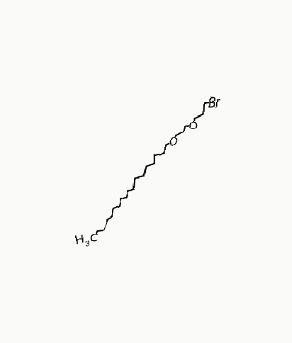 CCCCCCCCCCCCCCCCCCOCCCOCCCBr